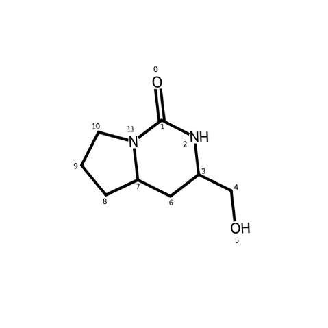 O=C1NC(CO)CC2CCCN12